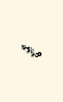 Cc1noc(C2CC2C(=O)NCNC(=O)N2CCc3ccccc3C2)n1